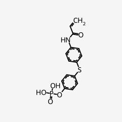 C=CC(=O)Nc1ccc(Sc2ccc(OP(=O)(O)O)cc2)cc1